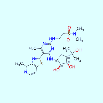 Cc1nc(NCCS(=O)(=O)N(C)C)nc(N[C@@H]2C[C@H](C(C)(C)O)[C@@H](O)[C@H]2O)c1-c1nc2c(C)nccc2s1